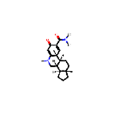 CCN(CC)C(=O)C1=C[C@@]2(C)C(=CC1=O)N(C)C[C@@H]1[C@H]2CC[C@]2(C)CCC[C@@H]12